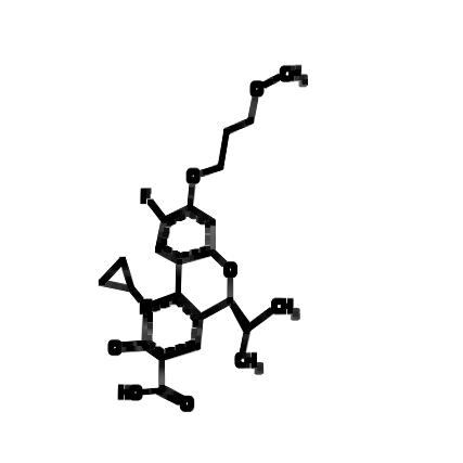 COCCCOc1cc2c(cc1F)-c1c(cc(C(=O)O)c(=O)n1C1CC1)[C@H](C(C)C)O2